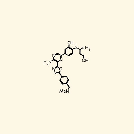 CNCc1ccc(-c2nnc(-c3nc(-c4ccc(SC(C)CCO)c(C)c4)cnc3N)o2)cc1